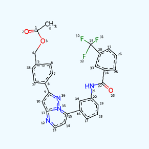 CC(=O)OCc1ccc(-c2cc3nccc(-c4cccc(NC(=O)c5cccc(C(F)(F)F)c5)c4)n3n2)cc1